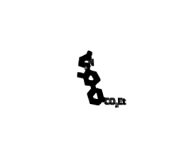 CCOC(=O)c1cccc(-c2ccc(-n3ccc(C)n3)c(C)c2)c1